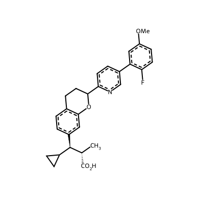 COc1ccc(F)c(-c2ccc(C3CCc4ccc([C@H](C5CC5)[C@H](C)C(=O)O)cc4O3)nc2)c1